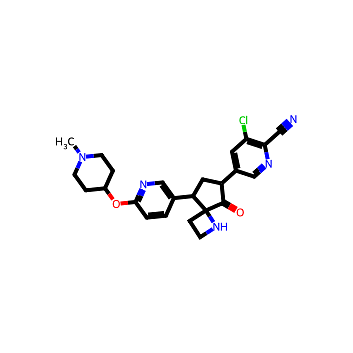 CN1CCC(Oc2ccc(C3CC(c4cnc(C#N)c(Cl)c4)C(=O)C34CCN4)cn2)CC1